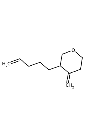 C=CCCCC1COCCC1=C